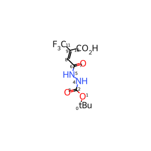 CC(C)(C)OC(=O)NNC(=O)/C=C(\C(=O)O)C(F)(F)F